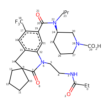 CCC(=O)NCCN1C(=O)C2(CCCC2)Cc2cc(C(F)(F)F)c(C(=O)N(C(C)C)[C@@H]3CCCN(C(=O)O)C3)cc21